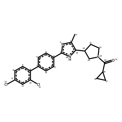 Cc1nc(-c2ccc(-c3ccc(Cl)cc3Cl)cc2)[nH]c1C1CCN(C(=O)C2CC2)C1